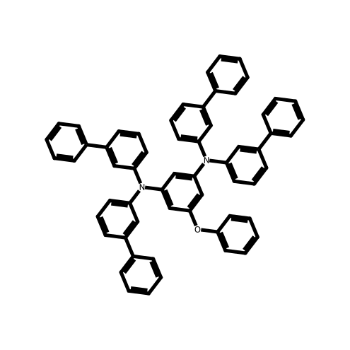 c1ccc(Oc2cc(N(c3cccc(-c4ccccc4)c3)c3cccc(-c4ccccc4)c3)cc(N(c3cccc(-c4ccccc4)c3)c3cccc(-c4ccccc4)c3)c2)cc1